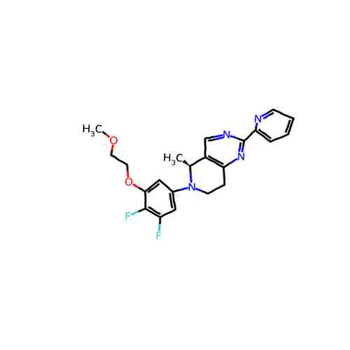 COCCOc1cc(N2CCc3nc(-c4ccccn4)ncc3[C@@H]2C)cc(F)c1F